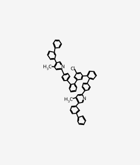 Cc1cc(-c2ccc(-c3ccccc3-c3cc(Cl)cc(-c4ccccc4-c4ccc(-c5cc(C)c(-c6cccc(-c7ccccc7)c6)cn5)cc4)c3)cc2)ncc1-c1cccc(-c2ccccc2)c1